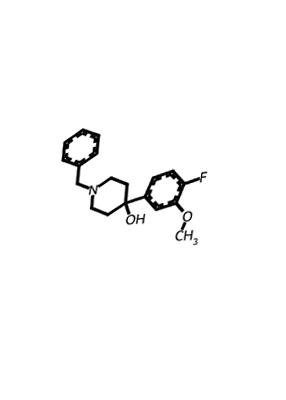 COc1cc(C2(O)CCN(Cc3ccccc3)CC2)ccc1F